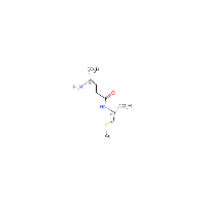 CC(=O)SC[C@H](NC(=O)CC[C@H](N)C(=O)O)C(=O)O